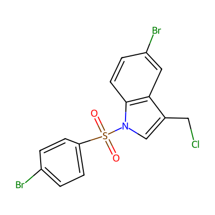 O=S(=O)(c1ccc(Br)cc1)n1cc(CCl)c2cc(Br)ccc21